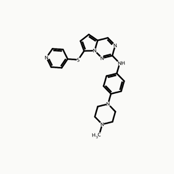 CN1CCN(c2ccc(Nc3ncc4ccc(Sc5ccncc5)n4n3)cc2)CC1